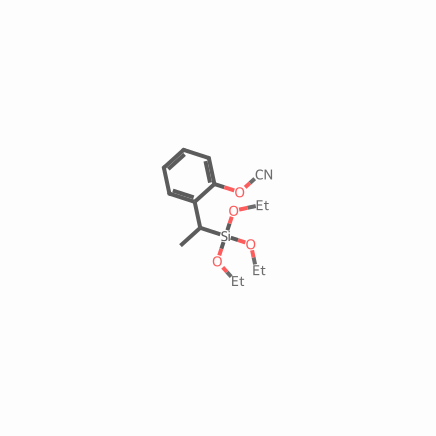 CCO[Si](OCC)(OCC)C(C)c1ccccc1OC#N